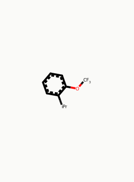 CC(C)c1ccccc1OC(F)(F)F